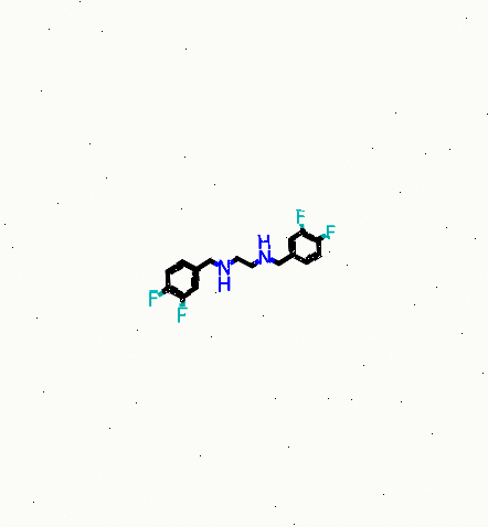 Fc1ccc(CNCCNCc2ccc(F)c(F)c2)cc1F